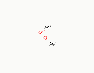 [Ag+].[Ag+].[O-2].[O]